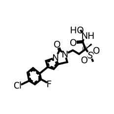 C[C@@](CCN1Cc2cc(-c3ccc(Cl)cc3F)cn2C1=O)(C(=O)NO)S(C)(=O)=O